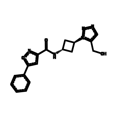 O=C(N[C@H]1C[C@H](n2nncc2CO)C1)c1cc(-c2ccccc2)on1